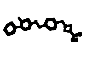 Cc1cc(SCc2ccc(CN3CC(C(=O)O)C3)cc2)ccc1-c1ccccc1